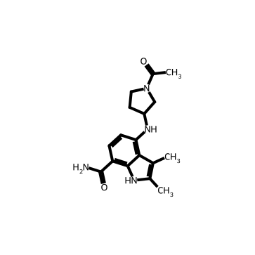 CC(=O)N1CCC(Nc2ccc(C(N)=O)c3[nH]c(C)c(C)c23)C1